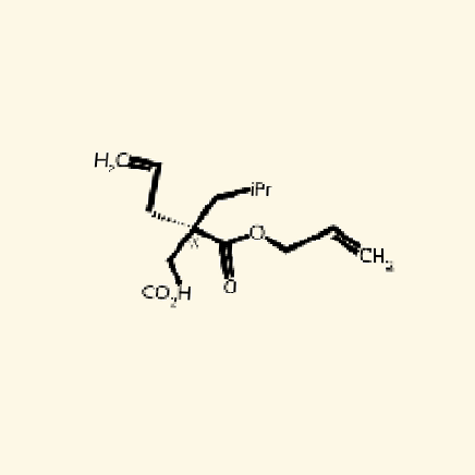 C=CCOC(=O)[C@@](CC=C)(CC(=O)O)CC(C)C